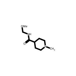 COCNC(=O)C1CCN(C)CC1